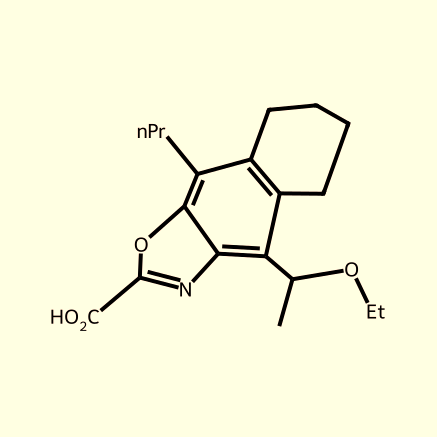 CCCc1c2c(c(C(C)OCC)c3nc(C(=O)O)oc13)CCCC2